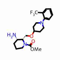 COC(=O)N1CCC[C@H](N)[C@@H]1COC1CCN(c2ccccc2C(F)(F)F)CC1